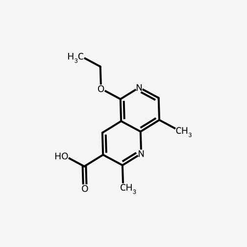 CCOc1ncc(C)c2nc(C)c(C(=O)O)cc12